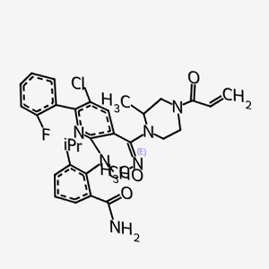 C=CC(=O)N1CCN(/C(=N/C)c2cc(Cl)c(-c3ccccc3F)nc2N(C=O)c2c(C(N)=O)cccc2C(C)C)C(C)C1